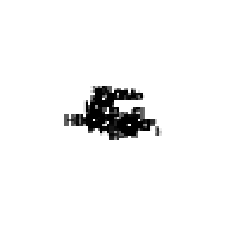 COc1cc([C@H]2[C@H]3O[C@H](C[C@@H]3O)[C@@H]2C(=O)Nc2ccc(C(F)(F)F)c(Cl)c2)ccn1